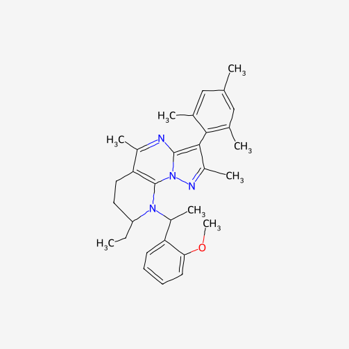 CCC1CCc2c(C)nc3c(-c4c(C)cc(C)cc4C)c(C)nn3c2N1C(C)c1ccccc1OC